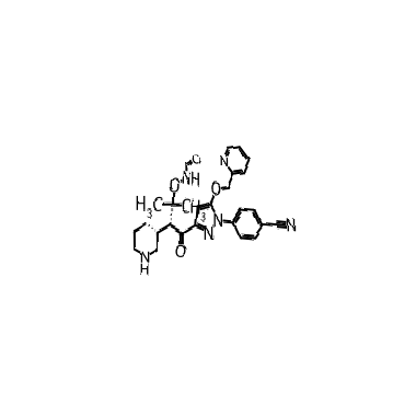 CC(C)(ONC=O)[C@H](C(=O)c1cc(OCc2ccccn2)n(-c2ccc(C#N)cc2)n1)[C@H]1CCCNC1